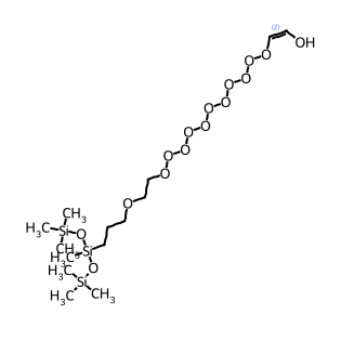 C[Si](C)(C)O[Si](C)(CCCOCCOOOOOOOOOOO/C=C\O)O[Si](C)(C)C